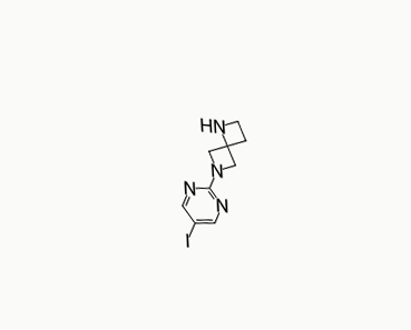 Ic1cnc(N2CC3(CCN3)C2)nc1